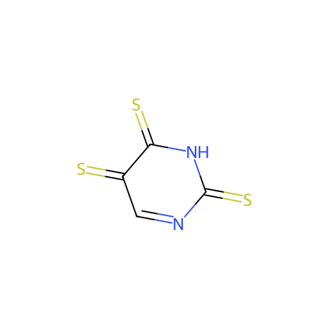 S=C1N=CC(=S)C(=S)N1